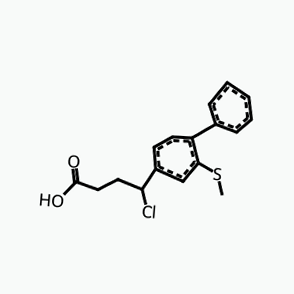 CSc1cc(C(Cl)CCC(=O)O)ccc1-c1ccccc1